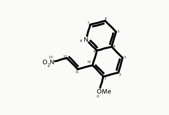 COc1ccc2cccnc2c1C=C[N+](=O)[O-]